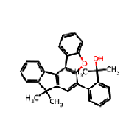 CC(C)(O)c1ccccc1-c1cc2c(c3c1oc1ccccc13)-c1ccccc1C2(C)C